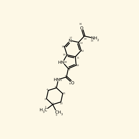 CC1(C)CCC(NC(=O)c2cc3cc(C(N)=O)ncc3[nH]2)CC1